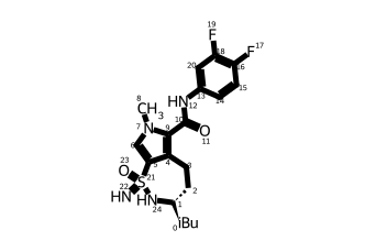 CC[C@H](C)[C@H]1CCc2c(cn(C)c2C(=O)Nc2ccc(F)c(F)c2)S(=N)(=O)N1